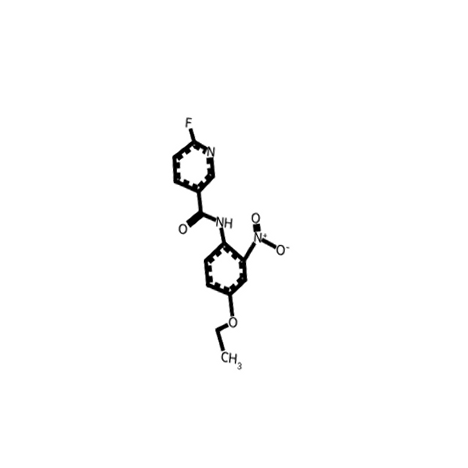 CCOc1ccc(NC(=O)c2ccc(F)nc2)c([N+](=O)[O-])c1